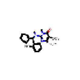 CCOC(=O)c1nc(N(C)C(c2ccccc2)c2ccccc2C#N)n(C)c(=O)c1OC